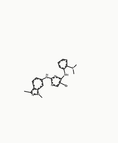 Cc1nn(C)c2cc(Nc3ncc(Br)c(Nc4ccccc4P(C)C)n3)ccc12